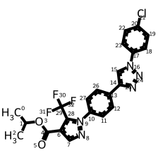 CC(C)OC(=O)c1cnn(-c2ccc(-c3cn(-c4ccc(Cl)cc4)nn3)cc2)c1C(F)(F)F